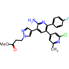 COC(=O)CCn1cc(-c2cc(-c3cc(C)nc(Cl)c3)c(-c3ccc(F)cc3)nc2N)cn1